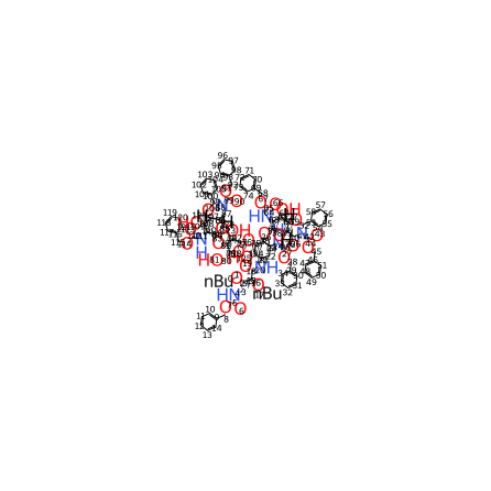 CCCCO[C@@H](CNC(=O)OCc1ccccc1)[C@H](OCCCC)C(=O)N[C@@H]1C[C@H](NC(=O)OCc2ccccc2)[C@@H](O[C@H]2O[C@@H]3CN(C(=O)OCc4ccccc4)C(c4ccccc4)O[C@H]3[C@@H](O)[C@H]2NC(=O)OCc2ccccc2)[C@H](O[C@@H]2O[C@H](CO)[C@@H](O[C@H]3O[C@H]4CN(C(=O)OCc5ccccc5)C(c5ccccc5)O[C@H]4[C@H](O)[C@H]3NC(=O)OCc3ccccc3)[C@H]2O)[C@H]1O